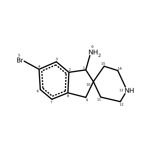 NC1c2cc(Br)ccc2CC12CCNCC2